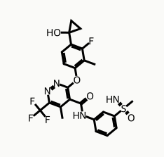 Cc1c(Oc2nnc(C(F)(F)F)c(C)c2C(=O)Nc2cccc(S(C)(=N)=O)c2)ccc(C2(O)CC2)c1F